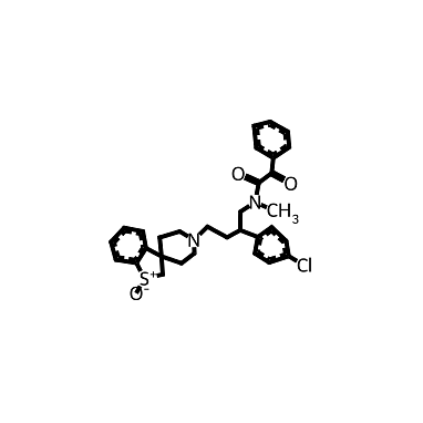 CN(CC(CCN1CCC2(CC1)C[S+]([O-])c1ccccc12)c1ccc(Cl)cc1)C(=O)C(=O)c1ccccc1